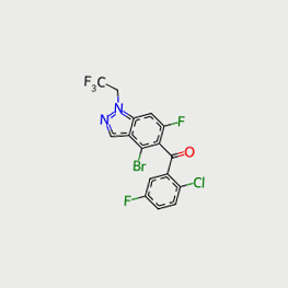 O=C(c1cc(F)ccc1Cl)c1c(F)cc2c(cnn2CC(F)(F)F)c1Br